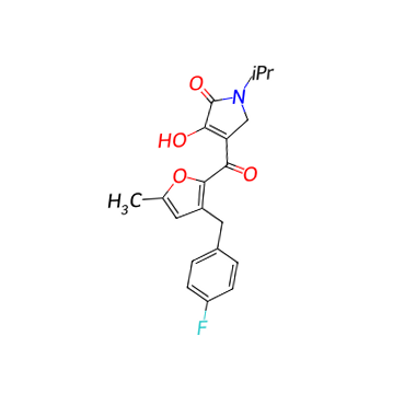 Cc1cc(Cc2ccc(F)cc2)c(C(=O)C2=C(O)C(=O)N(C(C)C)C2)o1